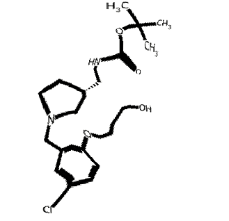 CC(C)(C)OC(=O)NC[C@H]1CCN(Cc2cc(Cl)ccc2OCCO)C1